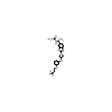 CC(=O)NC(C)c1ccc2nc(N3CC(Oc4cccc(OCCC(F)(F)F)c4)C3)oc2c1